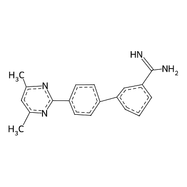 Cc1cc(C)nc(-c2ccc(-c3cccc(C(=N)N)c3)cc2)n1